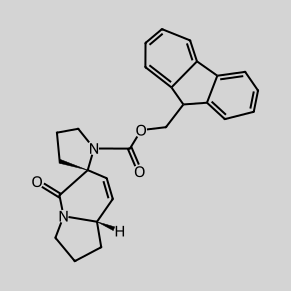 O=C(OCC1c2ccccc2-c2ccccc21)N1CCC[C@]12C=C[C@@H]1CCCN1C2=O